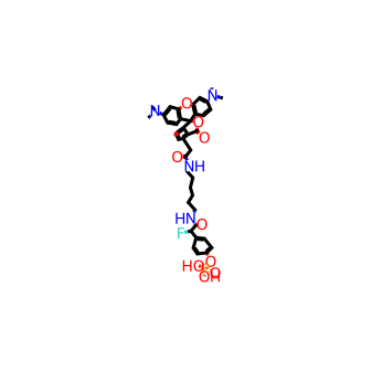 CN(C)c1ccc2c(c1)Oc1cc(N(C)C)ccc1C21OC(=O)c2c(CC(=O)NCCCCCCNC(=O)C(F)c3ccc(OP(=O)(O)O)cc3)cccc21